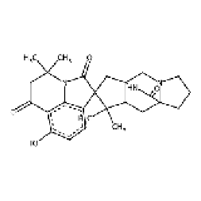 CC1(C)CC(=O)c2c(O)ccc3c2N1C(=O)C31CC23CN4CCCC4(CC2C1(C)C)C(=O)N3